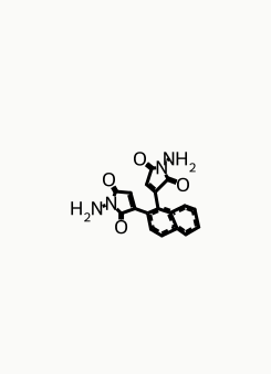 NN1C(=O)C=C(c2ccc3ccccc3c2C2=CC(=O)N(N)C2=O)C1=O